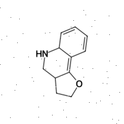 C1=CC2=C3OCCC3CNC2C=C1